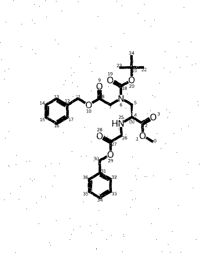 COC(=O)[C@H](CN(CC(=O)OCc1ccccc1)C(=O)OC(C)(C)C)NCC(=O)OCc1ccccc1